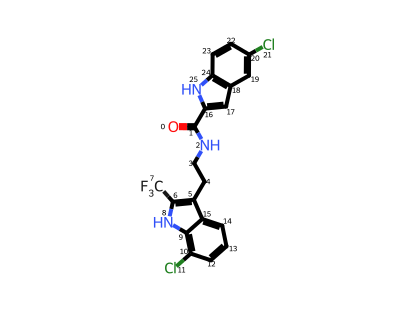 O=C(NCCc1c(C(F)(F)F)[nH]c2c(Cl)cccc12)c1cc2cc(Cl)ccc2[nH]1